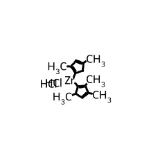 CC1=CC(C)=[C]([Zr][C]2=C(C)C(C)=CC2C)C1.Cl.Cl